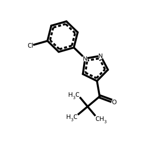 CC(C)(C)C(=O)c1cnn(-c2cccc(Cl)c2)c1